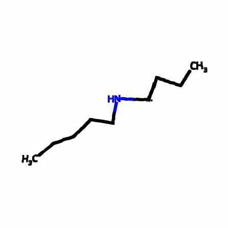 CCC[CH]NCCCCC